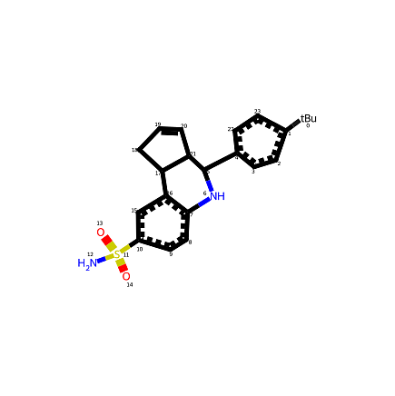 CC(C)(C)c1ccc(C2Nc3ccc(S(N)(=O)=O)cc3C3CC=CC32)cc1